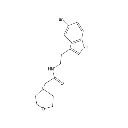 O=C(CN1CCOCC1)NCCc1c[nH]c2ccc(Br)cc12